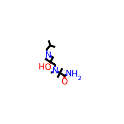 CC(C)CN1CC(O)(CN(C)C(C)(C)C(N)=O)C1